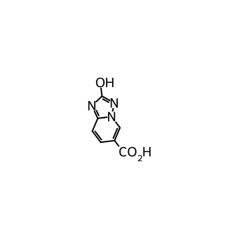 O=C(O)c1ccc2nc(O)nn2c1